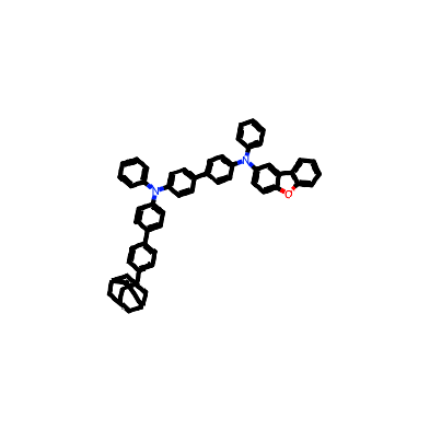 c1ccc(N(c2ccc(-c3ccc(N(c4ccccc4)c4ccc5oc6ccccc6c5c4)cc3)cc2)c2ccc(-c3ccc(C45CC6CC(CC(C6)C4)C5)cc3)cc2)cc1